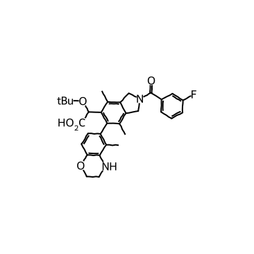 Cc1c(-c2c(C)c3c(c(C)c2C(OC(C)(C)C)C(=O)O)CN(C(=O)c2cccc(F)c2)C3)ccc2c1NCCO2